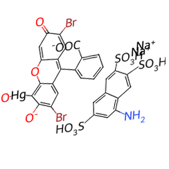 Nc1cc(S(=O)(=O)O)cc2cc(S(=O)(=O)O)c(S(=O)(=O)O)cc12.O=C([O-])c1ccccc1-c1c2cc(Br)c(=O)cc-2oc2[c]([Hg][OH])c([O-])c(Br)cc12.[Na+].[Na+]